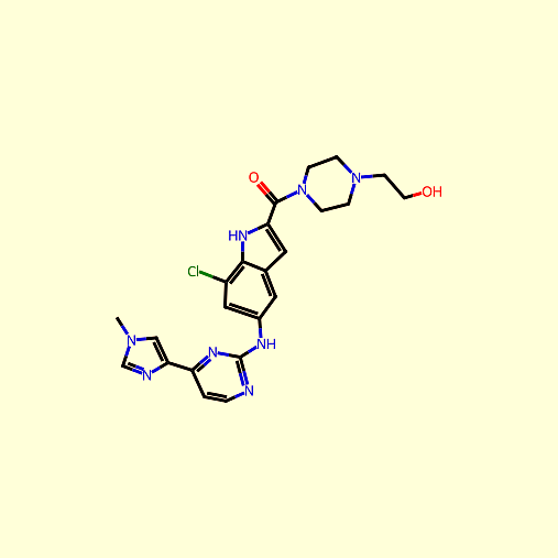 Cn1cnc(-c2ccnc(Nc3cc(Cl)c4[nH]c(C(=O)N5CCN(CCO)CC5)cc4c3)n2)c1